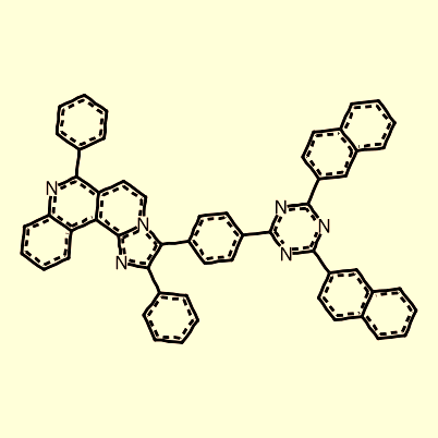 c1ccc(-c2nc3c4c(ccn3c2-c2ccc(-c3nc(-c5ccc6ccccc6c5)nc(-c5ccc6ccccc6c5)n3)cc2)c(-c2ccccc2)nc2ccccc24)cc1